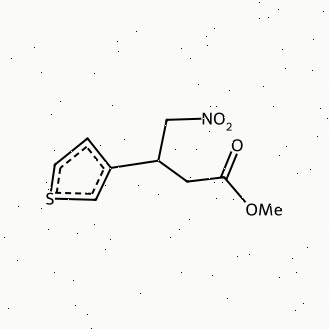 COC(=O)CC(C[N+](=O)[O-])c1ccsc1